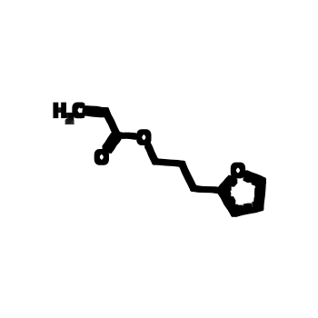 C=CC(=O)OCCCc1ccco1